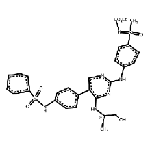 CCOC(=O)N=S(C)(=O)c1ccc(Nc2ncc(-c3ccc(NS(=O)(=O)c4ccccc4)cc3)c(N[C@H](C)CO)n2)cc1